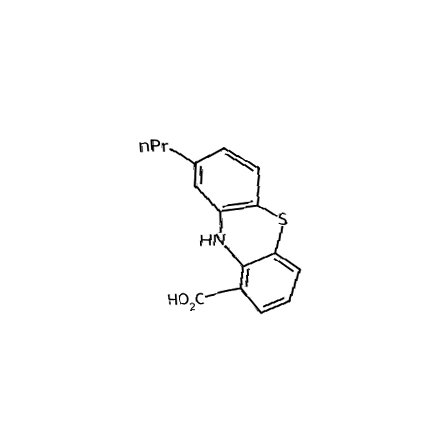 CCCc1ccc2c(c1)Nc1c(cccc1C(=O)O)S2